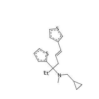 CCC(CC=Cc1ccsc1)(c1cccs1)N(C)CC1CC1